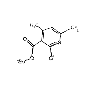 Cc1cc(C(F)(F)F)nc(Cl)c1C(=O)OC(C)(C)C